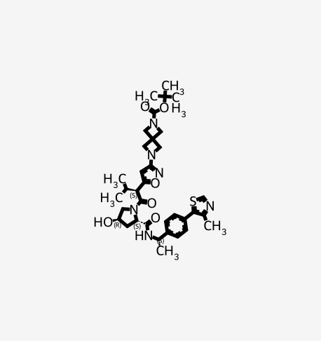 Cc1ncsc1-c1ccc([C@H](C)NC(=O)[C@@H]2C[C@@H](O)CN2C(=O)[C@H](c2cc(N3CC4(CN(C(=O)OC(C)(C)C)C4)C3)no2)C(C)C)cc1